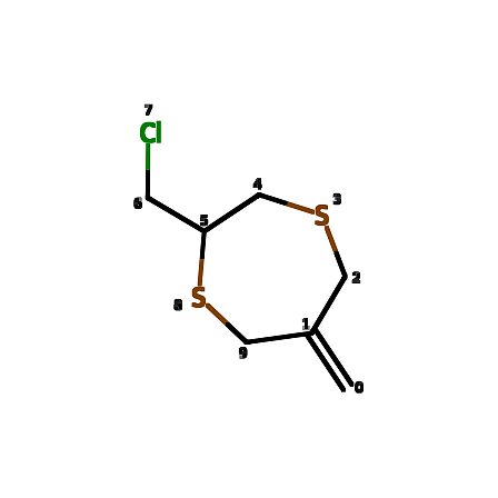 C=C1CSCC(CCl)SC1